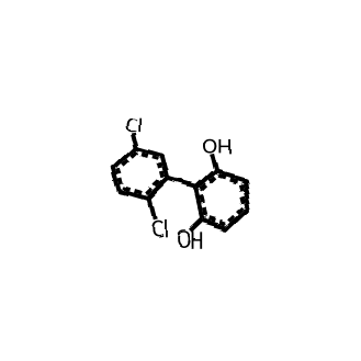 Oc1cccc(O)c1-c1cc(Cl)ccc1Cl